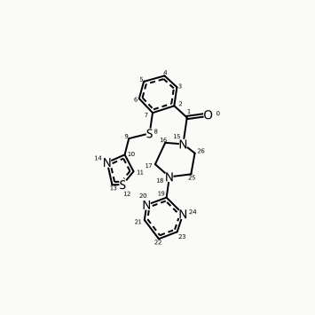 O=C(c1ccccc1SCc1cscn1)N1CCN(c2ncccn2)CC1